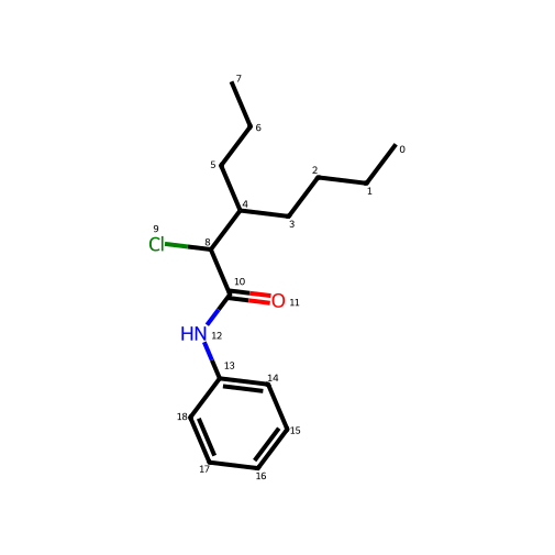 CCCCC(CCC)C(Cl)C(=O)Nc1ccccc1